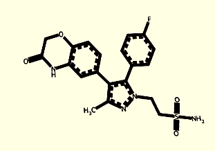 Cc1nn(CCS(N)(=O)=O)c(-c2ccc(F)cc2)c1-c1ccc2c(c1)NC(=O)CO2